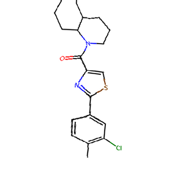 Cc1ccc(-c2nc(C(=O)N3CCCC4CCCCC43)cs2)cc1Cl